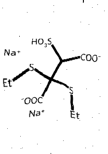 CCSC(SCC)(C(=O)[O-])C(C(=O)[O-])S(=O)(=O)O.[Na+].[Na+]